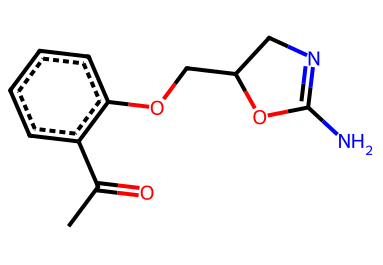 CC(=O)c1ccccc1OCC1CN=C(N)O1